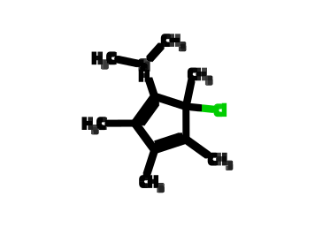 CC1=C(C)C(C)(Cl)C([SiH](C)C)=C1C